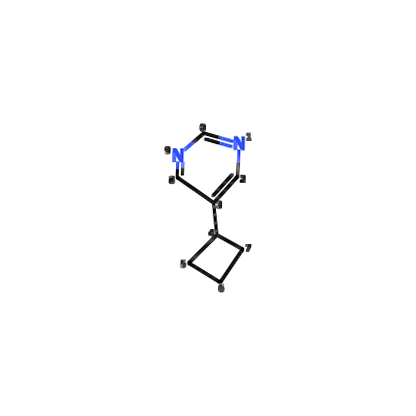 c1ncc(C2CCC2)cn1